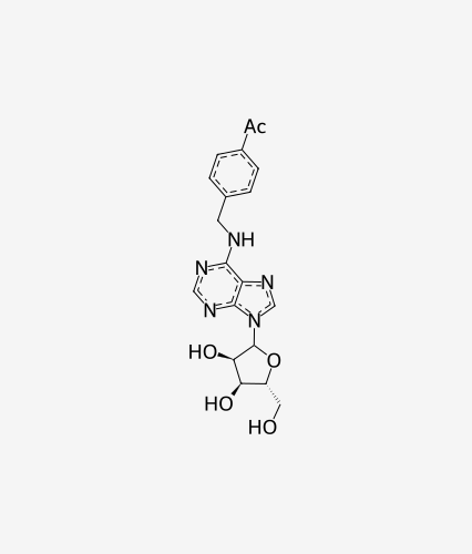 CC(=O)c1ccc(CNc2ncnc3c2ncn3C2O[C@H](CO)[C@@H](O)[C@H]2O)cc1